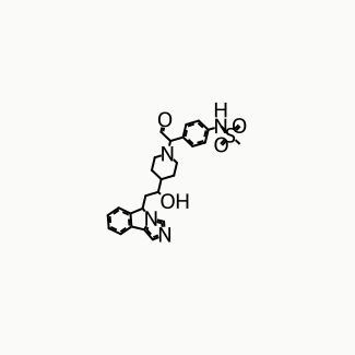 CS(=O)(=O)Nc1ccc(C(C=O)N2CCC(C(O)CC3c4ccccc4-c4cncn43)CC2)cc1